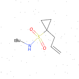 C=CCC1(S(=O)(=O)NC(C)(C)C)CC1